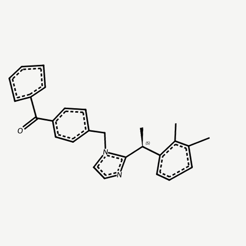 Cc1cccc([C@H](C)c2nccn2Cc2ccc(C(=O)c3ccccc3)cc2)c1C